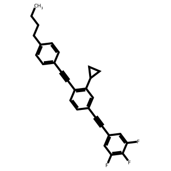 CCCCc1ccc(C#Cc2ccc(C#Cc3cc(F)c(F)c(F)c3)cc2C2CC2)cc1